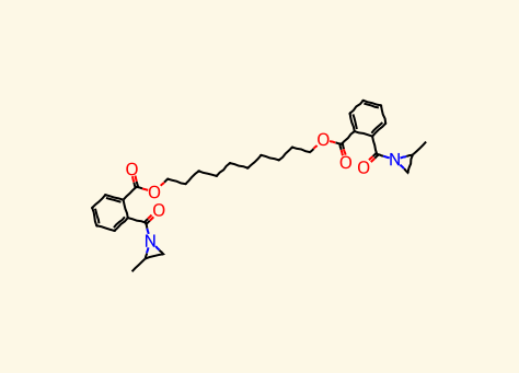 CC1CN1C(=O)c1ccccc1C(=O)OCCCCCCCCCCOC(=O)c1ccccc1C(=O)N1CC1C